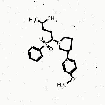 COc1ccc(C2CCCN(C(CCC(C)C)S(=O)(=O)c3ccccc3)C2)cc1